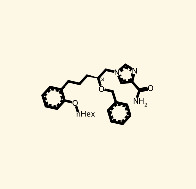 CCCCCCOc1ccccc1CCC[C@@H](Cn1cnc(C(N)=O)c1)OCc1ccccc1